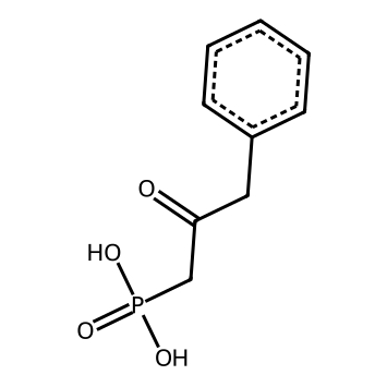 O=C(Cc1ccccc1)CP(=O)(O)O